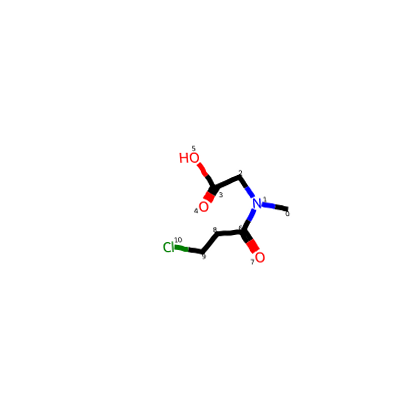 CN(CC(=O)O)C(=O)CCCl